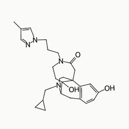 Cc1cnn(CCCN2CCC3(O)C4Cc5ccc(O)cc5C3(CCN4CC3CC3)CC2=O)c1